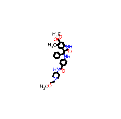 COCCN1CCC(NC(=O)c2ccc(N/C(=C3\C(=O)Nc4cc(C(=O)OC)c(C)cc43)c3ccccc3)cc2)CC1